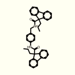 CCCC1(C(=O)NCc2ccc(NC(=O)C3(CCC)c4ccccc4-c4ccccc43)cc2)c2ccccc2-c2ccccc21